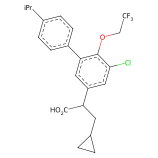 CC(C)c1ccc(-c2cc(C(CC3CC3)C(=O)O)cc(Cl)c2OCC(F)(F)F)cc1